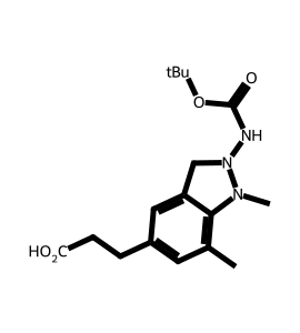 Cc1cc(CCC(=O)O)cc2c1N(C)N(NC(=O)OC(C)(C)C)C2